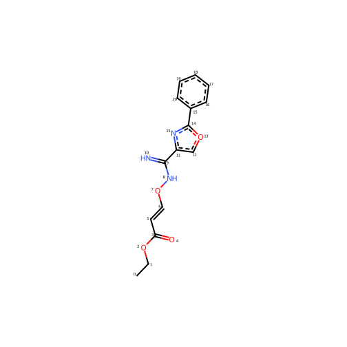 CCOC(=O)/C=C/ONC(=N)c1coc(-c2ccccc2)n1